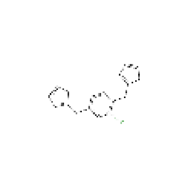 Brc1cc(CC2=CC=CC2)ccc1CC1=CC=CC1